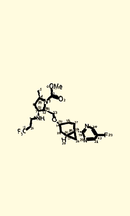 COC(=O)N1[C@H](C)C[C@H](NCCC(F)(F)F)[C@@H]1CO[C@H]1CC[C@@]2(c3ncc(F)cn3)C[C@H]2C1